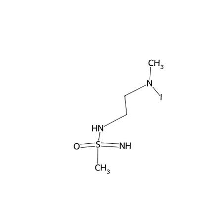 CN(I)CCNS(C)(=N)=O